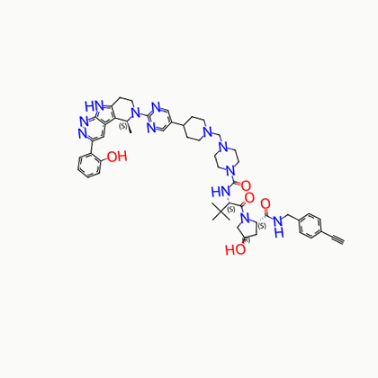 C#Cc1ccc(CNC(=O)[C@@H]2C[C@@H](O)CN2C(=O)[C@@H](NC(=O)N2CCN(CN3CCC(c4cnc(N5CCc6[nH]c7nnc(-c8ccccc8O)cc7c6[C@@H]5C)nc4)CC3)CC2)C(C)(C)C)cc1